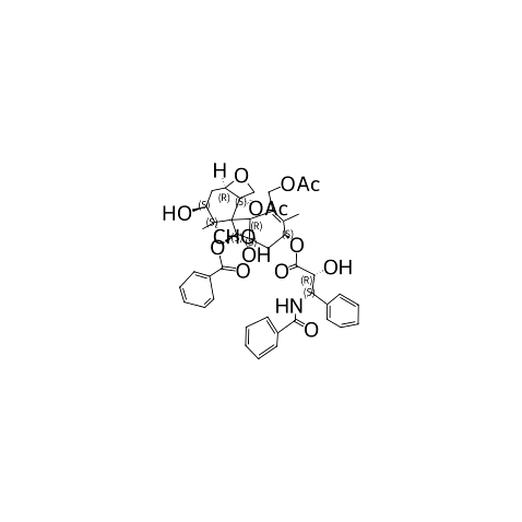 CC(=O)OCC1=C(C)[C@@H](OC(=O)[C@H](O)[C@@H](NC(=O)c2ccccc2)c2ccccc2)C[C@@]2(O)[C@@H](OC(=O)c3ccccc3)C3([C@]4(OC(C)=O)CO[C@@H]4C[C@H](O)[C@@]3(C)C=O)[C@@]12C